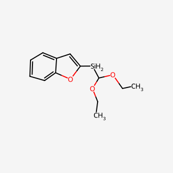 CCOC(OCC)[SiH2]c1cc2ccccc2o1